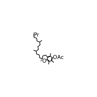 CC(=O)Oc1c(C)c(C)c2c(c1C)CC[C@@](C)(CCCC(C)CCCC(C)CCCC(C)C)O2